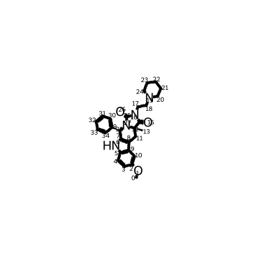 COc1ccc2[nH]c3c(c2c1)C[C@@]1(C)C(=O)N(CCN2CCCCC2)C(=O)N1[C@@H]3c1ccccc1